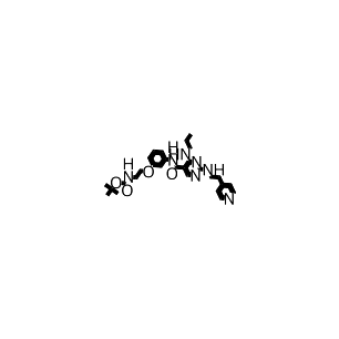 CCCNc1nc(NCCc2ccncc2)ncc1C(=O)Nc1cccc(OCCNC(=O)OC(C)(C)C)c1